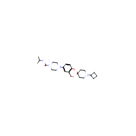 CC(C)NC(=O)N1CCN(c2ccc3c(c2)COC2(CCN(C4CCC4)CC2)O3)CC1